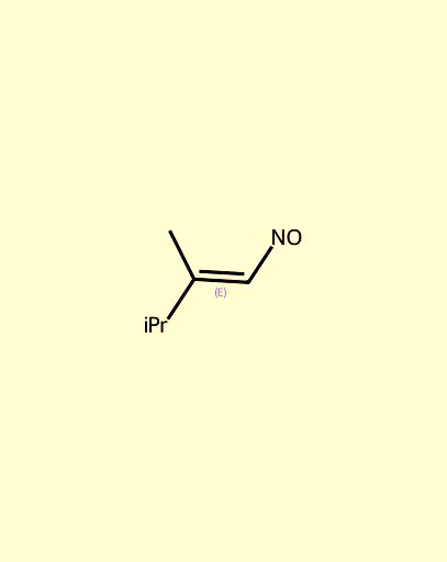 C/C(=C\N=O)C(C)C